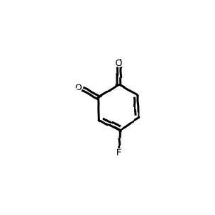 O=C1C=CC(F)=CC1=O